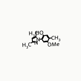 COc1cc(-n2nc(C)cc2C)c(O)cc1C